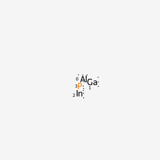 [Al].[Ga].[In].[P]